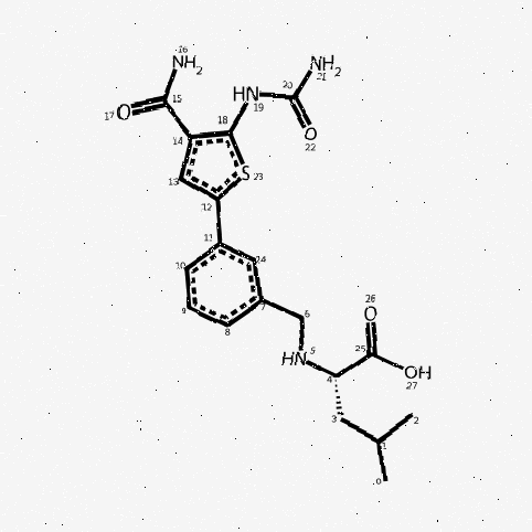 CC(C)C[C@H](NCc1cccc(-c2cc(C(N)=O)c(NC(N)=O)s2)c1)C(=O)O